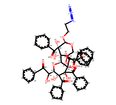 [N-]=[N+]=NCCO[C@H]1O[C@H](CO)[C@](O)(C(=O)c2ccccc2)[C@@](O)([C@@H]2O[C@H](C(O)C(=O)c3ccccc3)[C@](O)(C(=O)c3ccccc3)[C@@](O)(C(=O)c3ccccc3)[C@@]2(O)C(=O)c2ccccc2)[C@@]1(O)C(=O)c1ccccc1